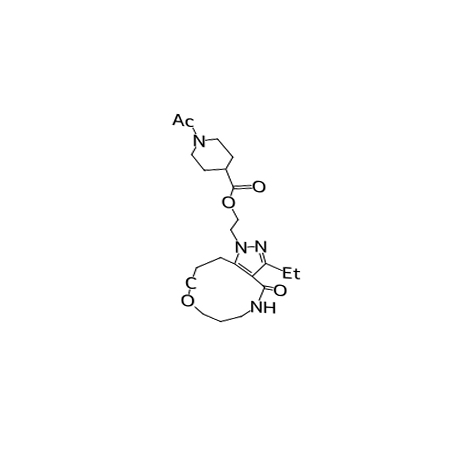 CCc1nn(CCOC(=O)C2CCN(C(C)=O)CC2)c2c1C(=O)NCCCOCCC2